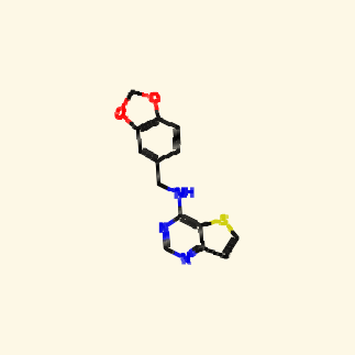 c1nc(NCc2ccc3c(c2)OCO3)c2sccc2n1